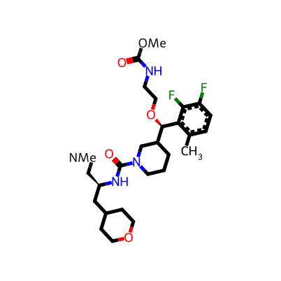 CNC[C@H](CC1CCOCC1)NC(=O)N1CCCC([C@@H](OCCNC(=O)OC)c2c(C)ccc(F)c2F)C1